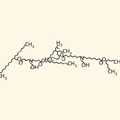 CCCCCCCCCCC(CCCCCCCC)COC(=O)CCCN(CCO)CCCC(=O)OCC(CCCCCCCCCC)CCCCCC(CC)C(CCC)CC(CCCC)OC(=O)CCCCCCCN(CCO)CCCCCCCC(=O)OC(CCCC)CCCCC